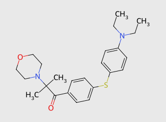 CCN(CC)c1ccc(Sc2ccc(C(=O)C(C)(C)N3CCOCC3)cc2)cc1